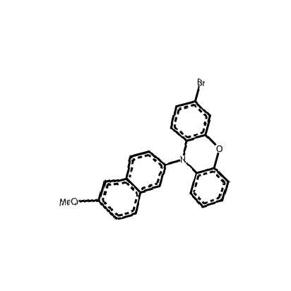 COc1ccc2cc(N3c4ccccc4Oc4cc(Br)ccc43)ccc2c1